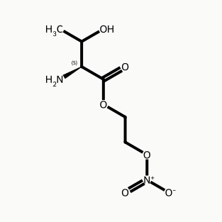 CC(O)[C@H](N)C(=O)OCCO[N+](=O)[O-]